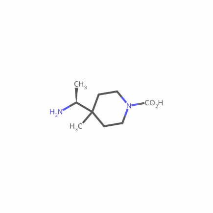 C[C@H](N)C1(C)CCN(C(=O)O)CC1